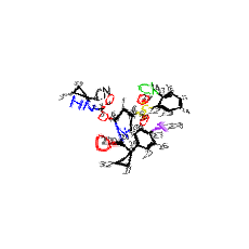 N#CC1(NC(=O)O[C@H]2C[C@@H](S(=O)(=O)c3ccccc3Cl)CN2C(=O)C2(c3ccc(I)cc3)CC2)CC1